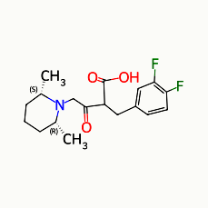 C[C@@H]1CCC[C@H](C)N1CC(=O)C(Cc1ccc(F)c(F)c1)C(=O)O